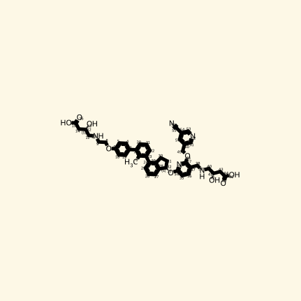 Cc1c(-c2ccc(OCCNC[C@@H](O)CC(=O)O)cc2)cccc1-c1cccc2c1CC[C@@H]2Oc1ccc(CNC[C@@H](O)CC(=O)O)c(OCc2cncc(C#N)c2)n1